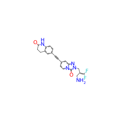 NCC(Cn1nc2cc(C#Cc3ccc4c(c3)CCC(=O)N4)ccn2c1=O)=C(F)F